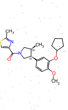 COc1ccc([C@H]2CN(C(=O)c3csc(C)n3)C[C@H]2C)cc1OC1CCCC1